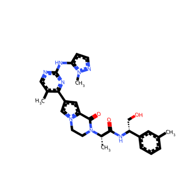 Cc1cccc([C@@H](CO)NC(=O)[C@H](C)N2CCn3cc(-c4nc(Nc5ccnn5C)ncc4C)cc3C2=O)c1